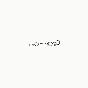 Nc1ccc(C#CCCN2CCC(O)(Cc3ccccc3)CC2)cc1